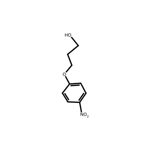 O=[N+]([O-])c1[c]cc(OCCCO)cc1